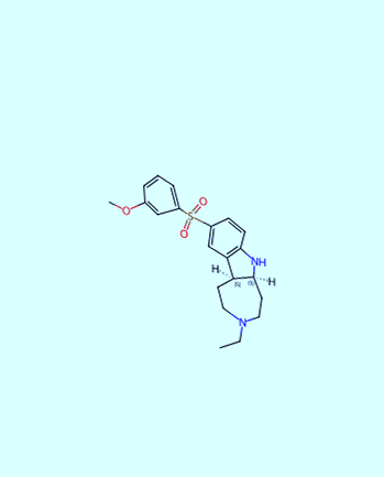 CCN1CC[C@@H]2Nc3ccc(S(=O)(=O)c4cccc(OC)c4)cc3[C@@H]2CC1